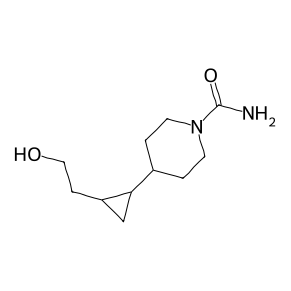 NC(=O)N1CCC(C2CC2CCO)CC1